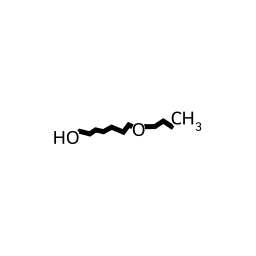 CCCCCOCCCCCCCO